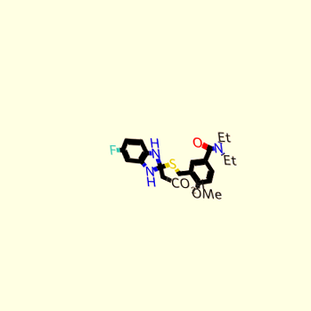 CCN(CC)C(=O)c1ccc(OC)c(CSC2(CC(=O)O)Nc3ccc(F)cc3N2)c1